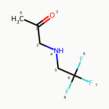 CC(=O)CNCC(F)(F)F